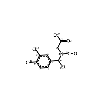 CCC(=O)CN(C=O)C(CC)c1ccc(Cl)c(Cl)c1